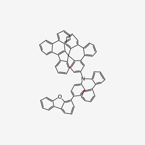 c1ccc(-c2ccccc2N(c2ccc(-c3cccc4c3oc3ccccc34)cc2)c2ccc3c(c2)-c2ccccc2-c2ccccc2C32c3ccccc3-c3c2c2ccccc2c2ccccc32)cc1